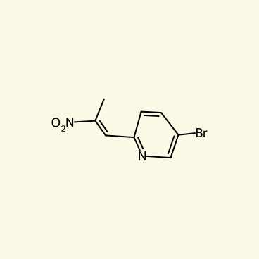 CC(=Cc1ccc(Br)cn1)[N+](=O)[O-]